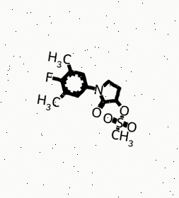 Cc1cc(N2CCC(OS(C)(=O)=O)C2=O)cc(C)c1F